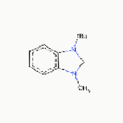 CN1CN(C(C)(C)C)c2ccccc21